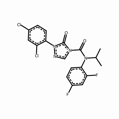 CC(C)N(C(=O)n1cnn(-c2ccc(Cl)cc2Cl)c1=O)c1ccc(F)cc1F